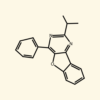 CC(C)c1nc(-c2ccccc2)c2oc3ccccc3c2n1